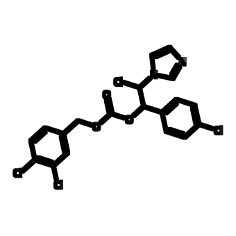 O=C(OCc1ccc(Cl)c(Cl)c1)OC(c1ccc(Cl)cc1)C(Cl)n1ccnc1